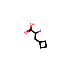 O=C(O)C(I)CC1CCC1